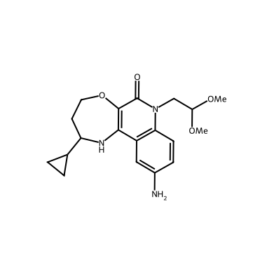 COC(Cn1c(=O)c2c(c3cc(N)ccc31)NC(C1CC1)CCO2)OC